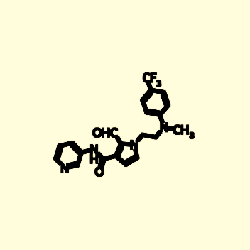 CN(CCn1ccc(C(=O)Nc2cccnc2)c1C=O)c1ccc(C(F)(F)F)cc1